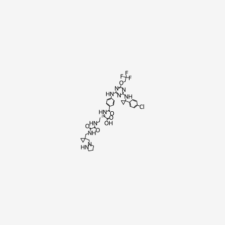 O=C(NCC[C@H](NC(=O)c1ccc(Nc2nc(NC3(c4ccc(Cl)cc4)CC3)nc(OCC(F)(F)F)n2)cc1)C(=O)O)C(=O)NCC1(CN2CCCN2)CC1